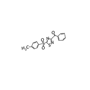 Cc1ccc(S(=O)(=O)c2nc(C(=O)c3ccccc3)ns2)cc1